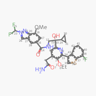 CCOc1c(CC(N)=O)cc([C@@](O)(CNC(=O)c2cc(OC)c3nn(C(F)F)cc3c2)C2CC2)nc1-c1csc2c(F)cccc12